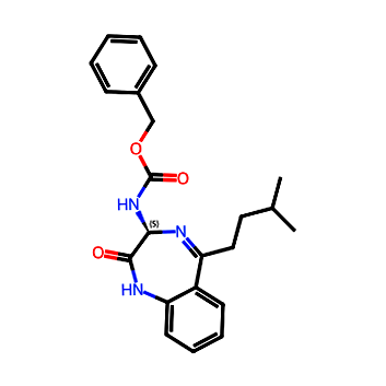 CC(C)CCC1=N[C@H](NC(=O)OCc2ccccc2)C(=O)Nc2ccccc21